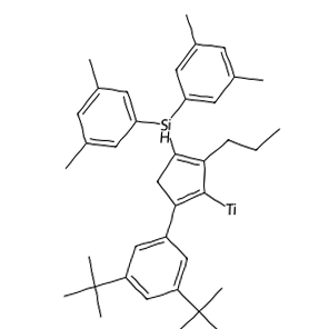 CCCC1=C([SiH](c2cc(C)cc(C)c2)c2cc(C)cc(C)c2)CC(c2cc(C(C)(C)C)cc(C(C)(C)C)c2)=[C]1[Ti]